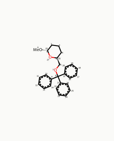 CO[C@@H]1CCC[C@@H](COC(c2ccccc2)(c2ccccc2)c2ccccc2)O1